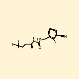 C=C(CCC(F)(F)F)NC(=O)NCc1cccc(C#N)c1F